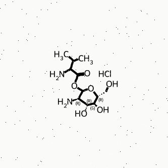 CC(C)C(N)C(=O)OC1O[C@H](CO)[C@@H](O)[C@H](O)[C@H]1N.Cl